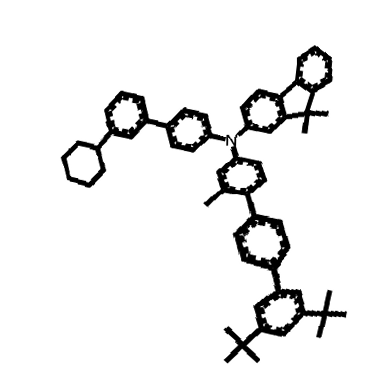 Cc1cc(N(c2ccc(-c3cccc(C4CCCCC4)c3)cc2)c2ccc3c(c2)C(C)(C)c2ccccc2-3)ccc1-c1ccc(-c2cc(C(C)(C)C)cc(C(C)(C)C)c2)cc1